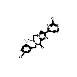 C[C@H]1Cn2cc(-c3ccnc(Cl)n3)nc2C(=O)N1Cc1cccc(Cl)c1